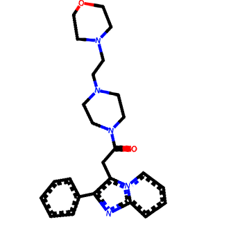 O=C(Cc1c(-c2ccccc2)nc2ccccn12)N1CCN(CCN2CCOCC2)CC1